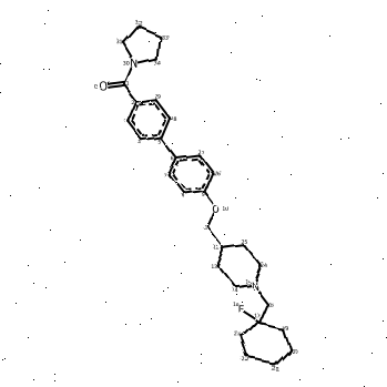 O=C(c1ccc(-c2ccc(OCC3CCN(CC4(F)CCCCC4)CC3)cc2)cc1)N1CCCC1